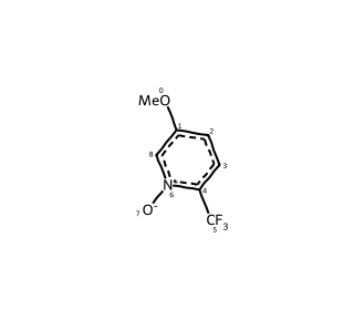 COc1ccc(C(F)(F)F)[n+]([O-])c1